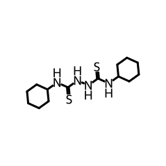 S=C(NNC(=S)NC1CCCCC1)NC1CCCCC1